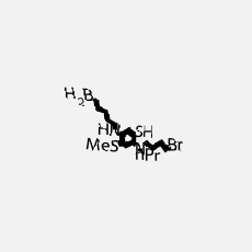 BCCCCCNc1cc(S)c(N(CCC)CCCCBr)cc1SC